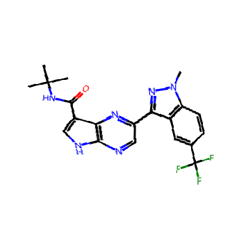 Cn1nc(-c2cnc3[nH]cc(C(=O)NC(C)(C)C)c3n2)c2cc(C(F)(F)F)ccc21